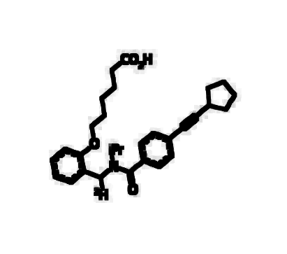 [2H]C(c1ccccc1OCCCCCC(=O)O)N(C(=O)c1ccc(C#CC2CCCC2)cc1)C(C)C